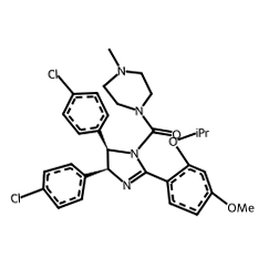 COc1ccc(C2=N[C@@H](c3ccc(Cl)cc3)[C@@H](c3ccc(Cl)cc3)N2C(=O)N2CCN(C)CC2)c(OC(C)C)c1